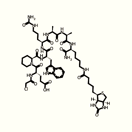 C[C@H](NC(=O)[C@H](C)NC(=O)[C@H](CCCNC(N)=O)NC(=O)[C@H](Cc1c[nH]c2ccccc12)NC(=O)[C@@H]1CCCCN1C(=O)[C@H](CCC(=O)O)NC(=O)CCl)C(=O)N[C@@H](CCCCNC(=O)CCCC[C@H]1SC[C@H]2NC(=O)N[C@H]21)C(N)=O